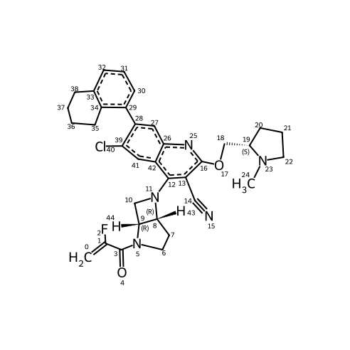 C=C(F)C(=O)N1CC[C@@H]2[C@H]1CN2c1c(C#N)c(OC[C@@H]2CCCN2C)nc2cc(-c3cccc4c3CCCC4)c(Cl)cc12